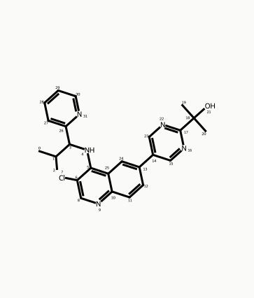 CC(C)C(Nc1c(Cl)cnc2ccc(-c3cnc(C(C)(C)O)nc3)cc12)c1ccccn1